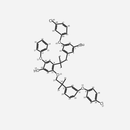 CC(C)(C)c1cc(CC(C)(C)c2cc(Oc3ccccc3)c(O)cc2OCC(C)(C)c2cccc(Oc3ccc(Cl)cc3)c2)cc(Oc2cccc(Cl)c2)c1